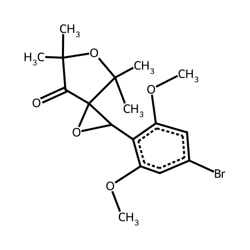 COc1cc(Br)cc(OC)c1C1OC12C(=O)C(C)(C)OC2(C)C